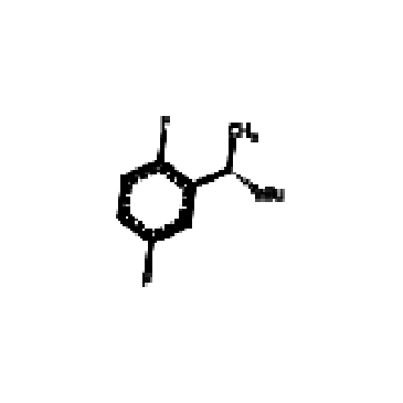 CCCC[C@@H](C)c1cc(F)ccc1F